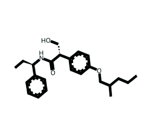 CCCC(C)COc1ccc([C@@H](CO)C(=O)N[C@H](CC)c2ccccc2)cc1